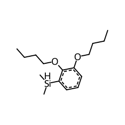 CCCCOc1cccc([SiH](C)C)c1OCCCC